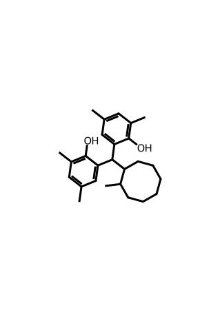 Cc1cc(C)c(O)c(C(c2cc(C)cc(C)c2O)C2CCCCCCC2C)c1